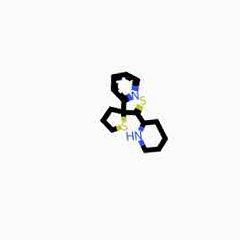 S=C(C1CCCCN1)C1(c2ccccn2)CCCS1